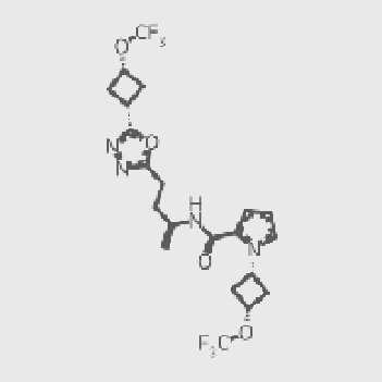 C=C(CCc1nnc([C@H]2C[C@@H](OC(F)(F)F)C2)o1)NC(=O)c1cccn1[C@H]1C[C@@H](OC(F)(F)F)C1